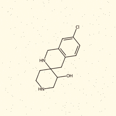 OC1CNCCC12Cc1ccc(Cl)cc1CN2